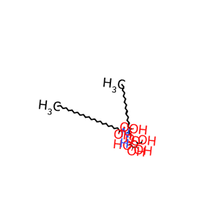 CCCCCCCCC/C=C/CC/C=C/C(O)C(CO[C@@H]1OC(CO)[C@@H](O)[C@@H](O)C1O)NC(=O)C(O)CCCCCCCCCCCCCCCCCCCCCC